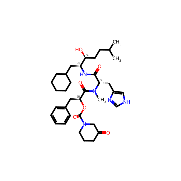 CC(C)CC[C@H](O)[C@H](CC1CCCCC1)NC(=O)[C@H](Cc1c[nH]cn1)N(C)C(=O)[C@H](Cc1ccccc1)OC(=O)N1CCCC(=O)C1